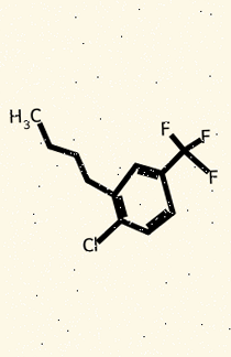 CCCCc1cc(C(F)(F)F)ccc1Cl